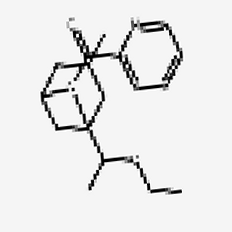 CCOC(C)C12CC(C)CC(C1)N2C(=O)c1ccccn1